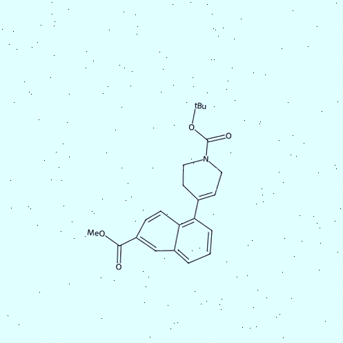 COC(=O)c1ccc2c(C3=CCN(C(=O)OC(C)(C)C)CC3)cccc2c1